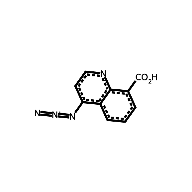 [N-]=[N+]=Nc1ccnc2c(C(=O)O)cccc12